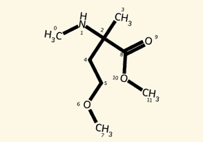 CNC(C)(CCOC)C(=O)OC